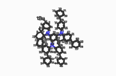 CC(C)(C)c1ccc2c(c1)C1(C)CCc3ccccc3C1(C)N2c1cc2c3c(c1)N(c1cccc(-c4ccccc4)c1)c1cc(-c4ccccc4)ccc1B3c1cc(-c3ccccc3)ccc1N2c1ccc(-c2ccccc2)cc1